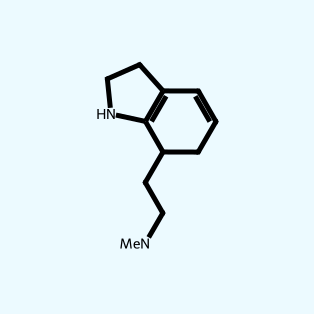 CNCCC1CC=CC2=C1NCC2